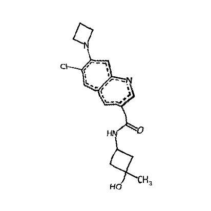 CC1(O)CC(NC(=O)c2cnc3cc(N4CCC4)c(Cl)cc3c2)C1